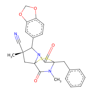 CN1C(=O)C23C[C@](C)(C#N)C(c4ccc5c(c4)OCO5)N2C(=O)C1(Cc1ccccc1)SS3